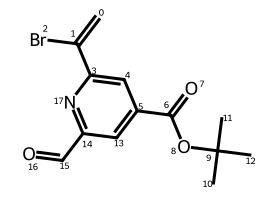 C=C(Br)c1cc(C(=O)OC(C)(C)C)cc(C=O)n1